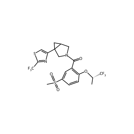 C[C@H](Oc1ccc(S(C)(=O)=O)cc1C(=O)N1CC2CC2(c2csc(C(F)(F)F)n2)C1)C(F)(F)F